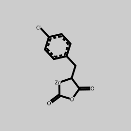 O=[C]1OC(=O)[CH](Cc2ccc(Cl)cc2)[Zn]1